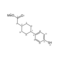 COC(=O)CC1CCC(c2ccc(S)cc2)CC1